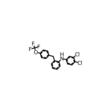 FC(F)(F)Oc1ccc(Cc2ccccc2Nc2ccc(Cl)c(Cl)c2)cc1